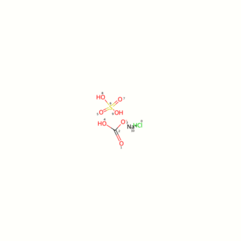 Cl.O=C([O-])O.O=S(=O)(O)O.[Na+]